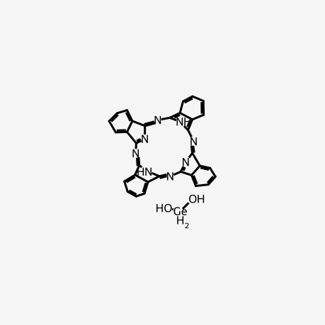 [OH][GeH2][OH].c1ccc2c(c1)-c1nc-2nc2[nH]c(nc3nc(nc4[nH]c(n1)c1ccccc41)-c1ccccc1-3)c1ccccc21